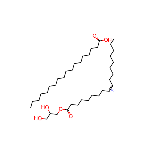 CCCCCCCC/C=C\CCCCCCCC(=O)OCC(O)CO.CCCCCCCCCCCCCCCCCC(=O)O